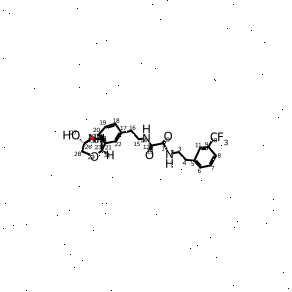 O=C(NCCc1cccc(C(F)(F)F)c1)C(=O)NCCc1ccc2c(c1)[C@H]1CC[C@](O)(CO1)N2